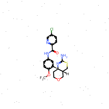 NC1=N[C@@]2(c3cc(NC(=O)c4ccc(Cl)cn4)ccc3OC(F)(F)F)CCOC[C@H]2CS1